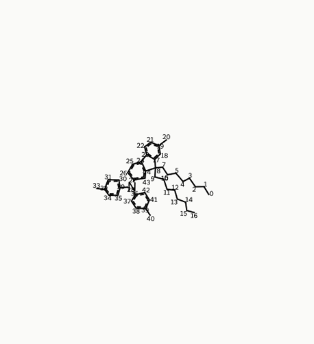 CCCCCCCCC1(CCCCCCCC)c2cc(C)ccc2-c2ccc(N(c3ccc(C)cc3)c3ccc(C)cc3)cc21